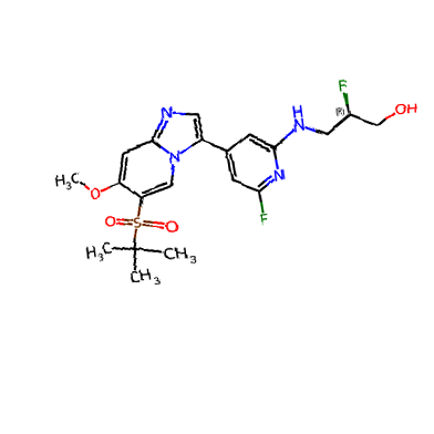 COc1cc2ncc(-c3cc(F)nc(NC[C@@H](F)CO)c3)n2cc1S(=O)(=O)C(C)(C)C